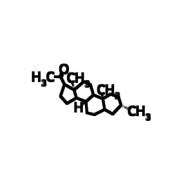 CC(=O)C1CCC2[C@@H]3CCC4C[C@@H](C)CC[C@]4(C)C3CC[C@]12C